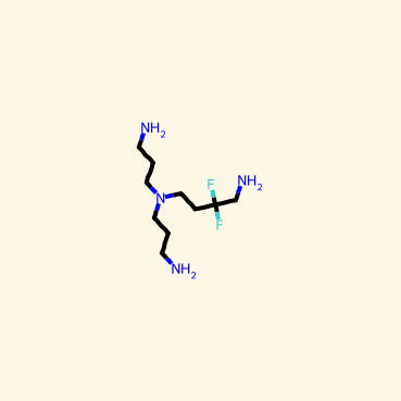 NCCCN(CCCN)CCC(F)(F)CN